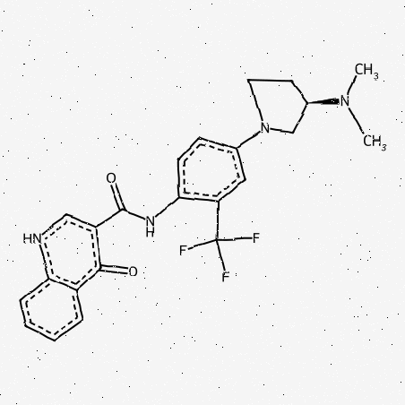 CN(C)[C@@H]1CCN(c2ccc(NC(=O)c3c[nH]c4ccccc4c3=O)c(C(F)(F)F)c2)C1